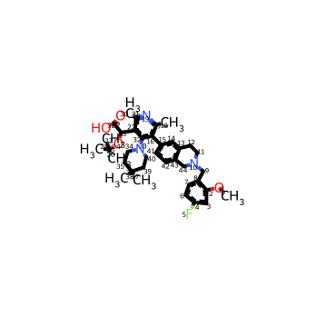 COc1cc(F)ccc1CN1CCc2cc(-c3c(C)nc(C)c(C(OC(C)(C)C)C(=O)O)c3N3CCC(C)(C)CC3)ccc2C1